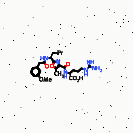 COc1cccc(CC(=O)N[C@@H](CC(C)C)c2nc(C(=O)N[C@@H](CCCNC(=N)N)C(=O)O)c(C)o2)c1